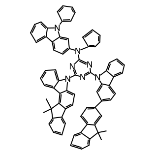 CC1(C)c2ccccc2-c2ccc(-c3ccc4c5ccccc5n(-c5nc(N(c6ccccc6)c6ccc7c8ccccc8n(-c8ccccc8)c7c6)nc(-n6c7ccccc7c7c8c(ccc76)-c6ccccc6C8(C)C)n5)c4c3)cc21